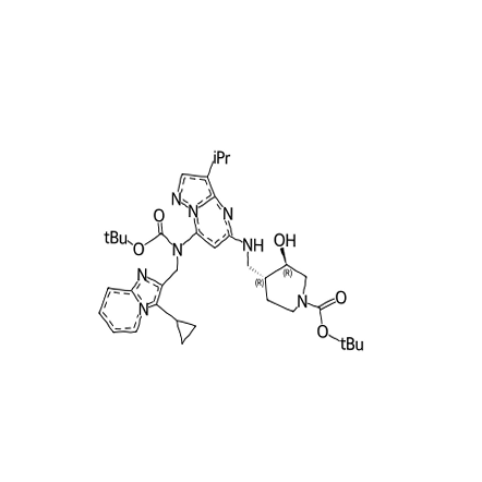 CC(C)c1cnn2c(N(Cc3nc4ccccn4c3C3CC3)C(=O)OC(C)(C)C)cc(NC[C@H]3CCN(C(=O)OC(C)(C)C)C[C@@H]3O)nc12